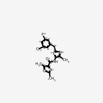 Cc1nc(C(=O)Nc2sc(Cc3cc(F)cc(Cl)c3)nc2C)c(C)o1